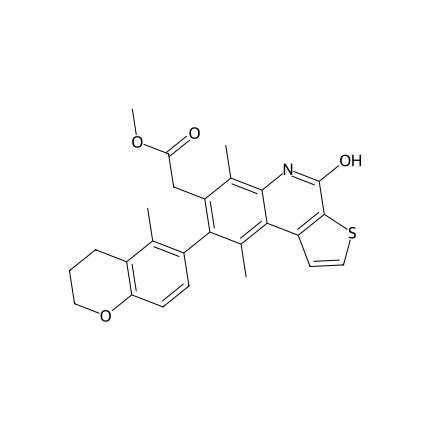 COC(=O)Cc1c(-c2ccc3c(c2C)CCCO3)c(C)c2c(nc(O)c3sccc32)c1C